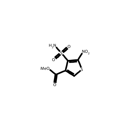 COC(=O)c1csc([N+](=O)[O-])c1S(N)(=O)=O